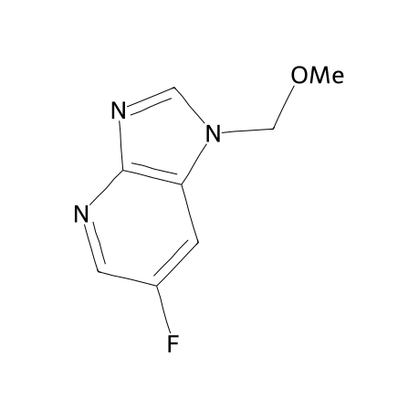 COCn1cnc2ncc(F)cc21